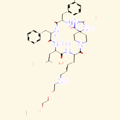 COCCOCCNCCCCC(NC(=O)C(CC(C)C)NC(=O)C(Cc1ccccc1)NC(=O)C(N)Cc1ccccc1)C(=O)N1CCC2(CC1)NC(O)NC2O